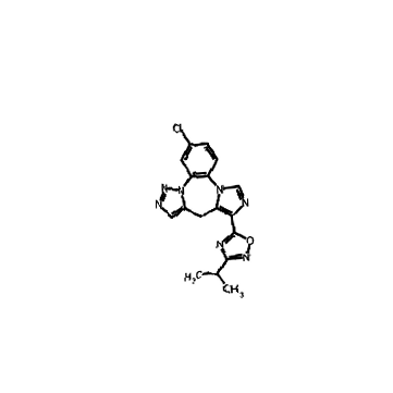 CC(C)c1noc(-c2ncn3c2Cc2cnnn2-c2cc(Cl)ccc2-3)n1